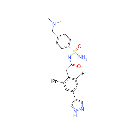 CC(C)c1cc(-c2cn[nH]c2)cc(C(C)C)c1CC(=O)N=S(N)(=O)c1ccc(CN(C)C)cc1